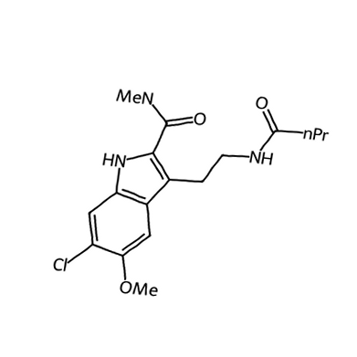 CCCC(=O)NCCc1c(C(=O)NC)[nH]c2cc(Cl)c(OC)cc12